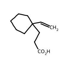 C=CC1(CCC(=O)O)CCCCC1